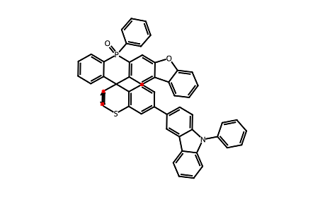 O=P1(c2ccccc2)c2ccccc2C2(c3ccccc3Sc3cc(-c4ccc5c(c4)c4ccccc4n5-c4ccccc4)ccc32)c2cc3c(cc21)oc1ccccc13